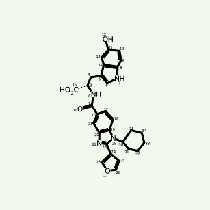 O=C(N[C@@H](Cc1c[nH]c2ccc(O)cc12)C(=O)O)c1ccc2c(c1)nc(-c1ccoc1)n2C1CCCCC1